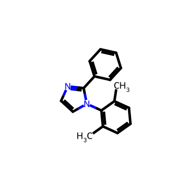 Cc1cccc(C)c1-n1ccnc1-c1ccccc1